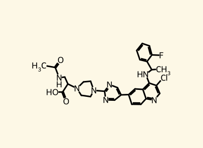 CC(=O)NCC(C(=O)O)N1CCN(c2ncc(-c3ccc4ncc(Cl)c(NC(C)c5ccccc5F)c4c3)cn2)CC1